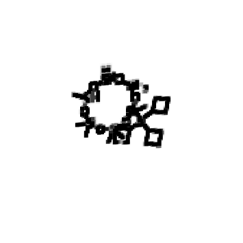 C[SiH]1O[SiH2]O[SiH2]O[Si](C)([Si](C2CCC2)(C2CCC2)C2CCC2)O[Si](C)(C)O[Si](C)(C)O1